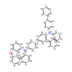 c1ccc(-c2ccc(N(c3ccccc3)c3ccc(-c4ccc(N(c5ccccc5)c5cccc6oc7ccccc7c56)cc4)cc3-c3ccccc3)cc2)cc1